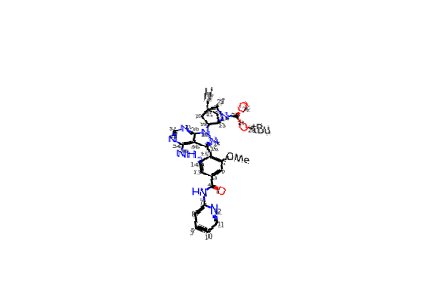 COc1cc(C(=O)Nc2ccccn2)ccc1-c1nn(C2C[C@H]3CC2N(C(=O)OC(C)(C)C)C3)c2ncnc(N)c12